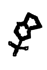 O=S(=O)(Cl)c1cnc2cccn2c1